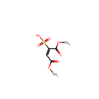 COC(=O)/C=C(\C(=O)OC)S(=O)(=O)O